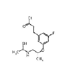 CCC(=O)CCc1cc(F)cc(O[C@H](C)CNC(C)S)c1